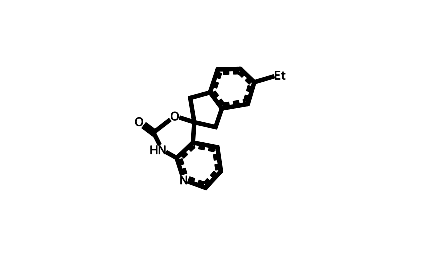 CCc1ccc2c(c1)CC1(C2)OC(=O)Nc2ncccc21